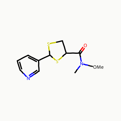 CON(C)C(=O)C1CSC(c2cccnc2)S1